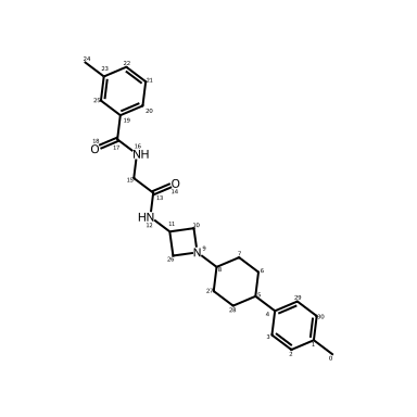 Cc1ccc(C2CCC(N3CC(NC(=O)CNC(=O)c4cccc(C)c4)C3)CC2)cc1